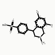 CNS(=O)(=O)c1ccc(C2CN(C)Cc3c(Cl)cc(Cl)cc32)cc1